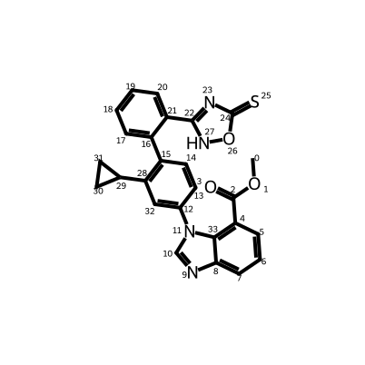 COC(=O)c1cccc2ncn(-c3ccc(-c4ccccc4-c4nc(=S)o[nH]4)c(C4CC4)c3)c12